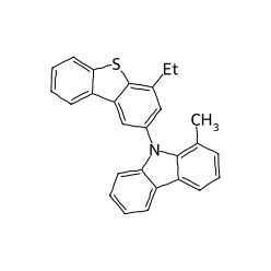 CCc1cc(-n2c3ccccc3c3cccc(C)c32)cc2c1sc1ccccc12